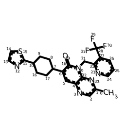 Cc1cnc2cc(C3CCC(c4nccs4)CC3)c(=O)n(Cc3ncccc3C(F)(F)F)c2n1